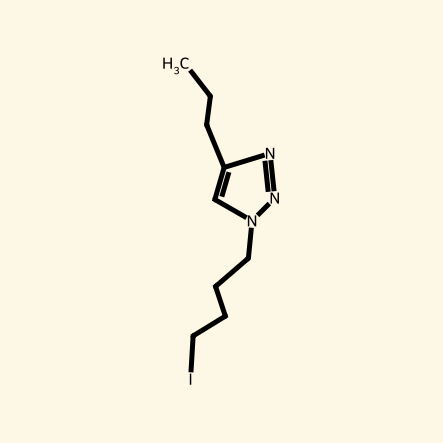 CCCc1cn(CCCCI)nn1